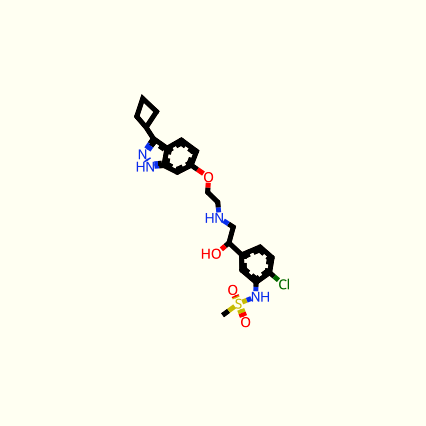 CS(=O)(=O)Nc1cc(C(O)CNCCOc2ccc3c(C4CCC4)n[nH]c3c2)ccc1Cl